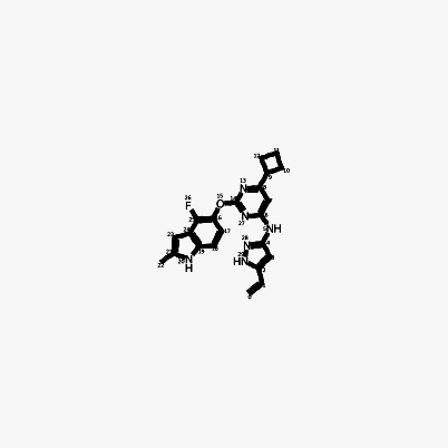 C=Cc1cc(Nc2cc(C3CCC3)nc(Oc3ccc4[nH]c(C)cc4c3F)n2)n[nH]1